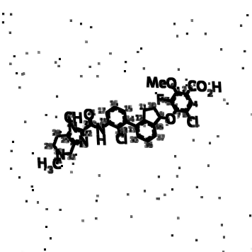 COc1c(C(=O)O)cc(Cl)c(OC2CCc3c(-c4cccc(NC(=O)c5nc6c(n5C)CCN(C)C6)c4Cl)cccc32)c1F